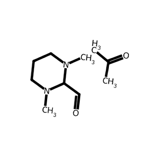 CC(C)=O.CN1CCCN(C)C1C=O